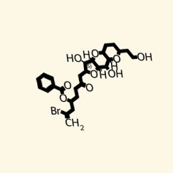 C=C(Br)CC(CCC(=O)CC1O[C@H]2C(O)[C@H]3OC(CCO)CCC3O[C@H]2[C@H]1O)OC(=O)c1ccccc1